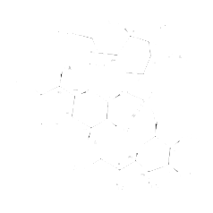 CC(=O)OC[C@@H](OC(C)=O)[C@H]1O[C@@H](OP(=O)(O[C@@H]2O[C@H]([C@@H](COC(C)=O)OC(C)=O)[C@@H](OC(C)=O)[C@H](OC(C)=O)[C@@H]2OC(C)=O)O[C@@H]2O[C@H]([C@@H](COC(C)=O)OC(C)=O)[C@@H](OC(C)=O)[C@H](OC(C)=O)[C@@H]2OC(C)=O)[C@@H](OC(C)=O)[C@@H](OC(C)=O)[C@@H]1OC(C)=O